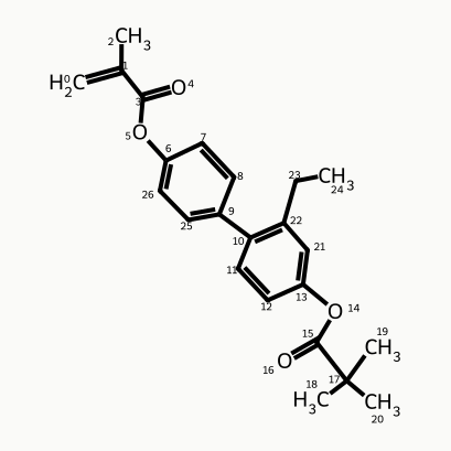 C=C(C)C(=O)Oc1ccc(-c2ccc(OC(=O)C(C)(C)C)cc2CC)cc1